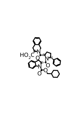 O=C(O)[C@H]1Cc2ccccc2CN1C(=O)[C@H]1CC[C@@H](c2ccccc2)N1C(=O)[C@H]1Cc2ccccc2N1C(=O)OCC1CCCCC1